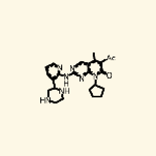 CC(=O)c1c(C)c2cnc(Nc3ncccc3C3CNCCN3)nc2n(C2CCCC2)c1=O